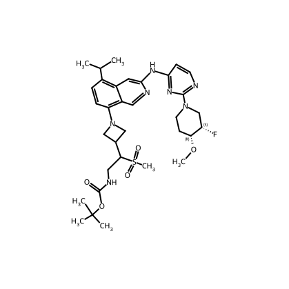 CO[C@@H]1CCN(c2nccc(Nc3cc4c(C(C)C)ccc(N5CC(C(CNC(=O)OC(C)(C)C)S(C)(=O)=O)C5)c4cn3)n2)C[C@@H]1F